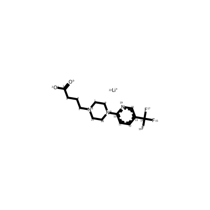 O=C([O-])CCCN1CCN(c2ccc(C(F)(F)F)cn2)CC1.[Li+]